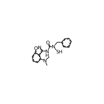 CN(C)c1cccc2onc(NC(=O)N(S)Cc3ccccc3)c12